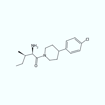 CC[C@@H](C)[C@@H](N)C(=O)N1CCC(c2ccc(Cl)cc2)CC1